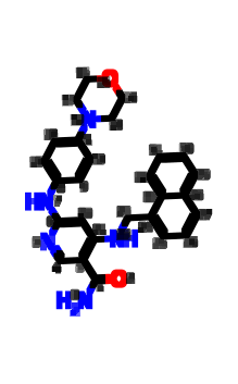 NC(=O)c1cnc(Nc2ccc(N3CCOCC3)cc2)cc1NCc1cccc2ccccc12